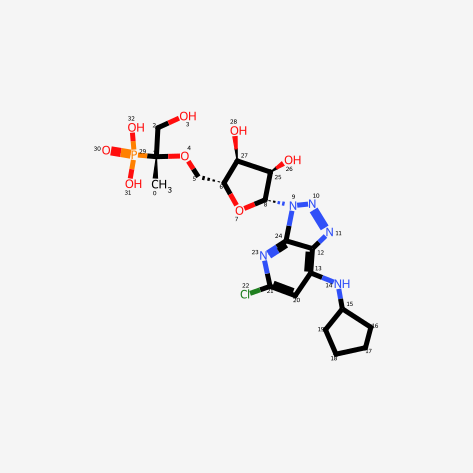 C[C@@](CO)(OC[C@H]1O[C@@H](n2nnc3c(NC4CCCC4)cc(Cl)nc32)[C@H](O)[C@@H]1O)P(=O)(O)O